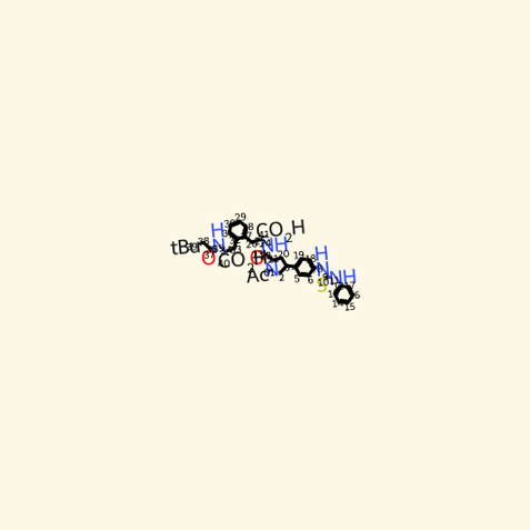 CC(=O)N1CC(c2ccc(NC(=S)Nc3ccccc3)cc2)CC1C(=O)NC(Cc1ccccc1CC(NC(=O)CC(C)(C)C)C(=O)O)C(=O)O